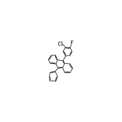 Fc1ccc(-c2c3ccccc3c(-c3ccccc3)c3ccccc23)cc1Cl